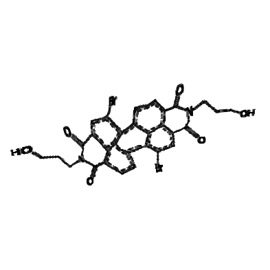 O=C1c2ccc3c4c(Br)cc5c6c(ccc(c7c(Br)cc(c2c37)C(=O)N1CCCO)c64)C(=O)N(CCCO)C5=O